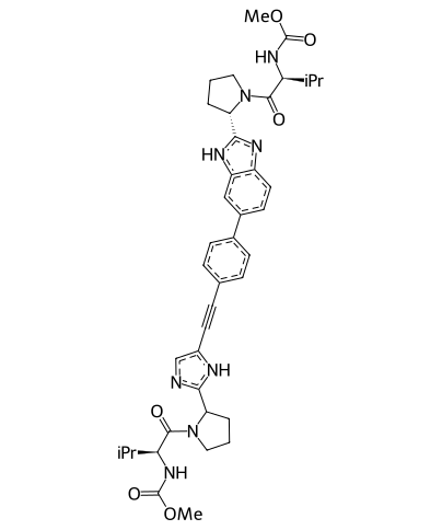 COC(=O)N[C@H](C(=O)N1CCCC1c1ncc(C#Cc2ccc(-c3ccc4nc([C@@H]5CCCN5C(=O)[C@@H](NC(=O)OC)C(C)C)[nH]c4c3)cc2)[nH]1)C(C)C